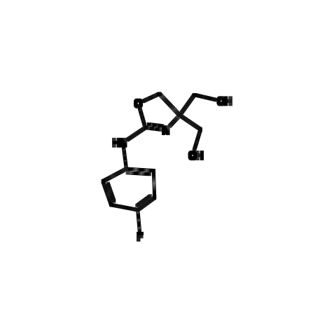 OCC1(CO)COC(Nc2ccc(F)cc2)=N1